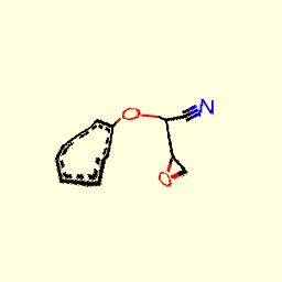 N#CC(Oc1ccccc1)C1CO1